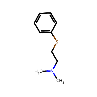 CN(C)CCSc1c[c]ccc1